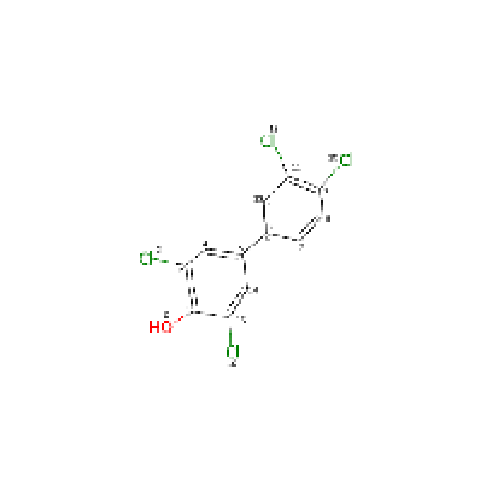 Oc1c(Cl)cc(-c2ccc(Cl)c(Cl)c2)cc1Cl